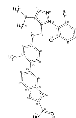 Cc1cc(OCc2c(C(C)C)cnn2-c2c(Cl)cccc2Cl)ccc1-c1ccc2cc(C(=O)O)sc2c1